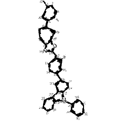 Cc1cccc(-c2ccc3nc(-c4ccc(-c5ccc6c(c5)c5ccccc5n6-c5ccccc5)cc4)oc3c2)c1